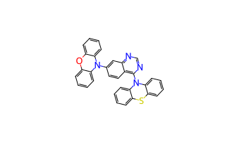 c1ccc2c(c1)Oc1ccccc1N2c1ccc2c(N3c4ccccc4Sc4ccccc43)ncnc2c1